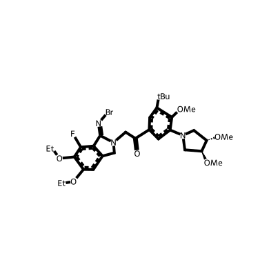 CCOc1cc2c(c(F)c1OCC)/C(=N/Br)N(CC(=O)c1cc(N3C[C@H](OC)[C@@H](OC)C3)c(OC)c(C(C)(C)C)c1)C2